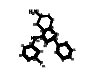 NC1CCc2nc(-c3ccncc3)nc(Nc3cccc(F)c3)c2C1